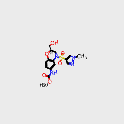 Cn1cc(S(=O)(=O)N2C[C@H](CO)Oc3ccc(NC(=O)OC(C)(C)C)cc32)cn1